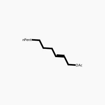 CCCCCCCCC=CCOC(C)=O